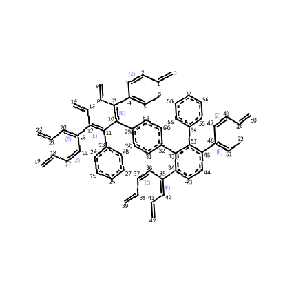 C=C/C=C\C(=CC)/C(C=C)=C(/C(=C(C=C)/C(/C=C\C=C)=C/C=C)c1ccccc1)c1ccc(-c2c(C(/C=C\C=C)=C/C=C)ccc(C(/C=C\C=C)=C/C)c2-c2ccccc2)cc1